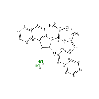 CC1=Cc2c(ccc3ccccc23)[CH]1[Hf]([CH]1C(C)=Cc2c1ccc1ccccc21)=[Si](C)C.Cl.Cl